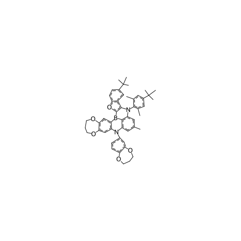 Cc1cc2c3c(c1)N(c1c(C)cc(C(C)(C)C)cc1C)c1c(oc4ccc(C(C)(C)C)cc14)B3c1cc3c(cc1N2c1ccc2c(c1)OCCCO2)OCCCO3